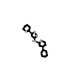 c1ccc(-c2ccnc(Nc3cc(-c4ccccn4)ns3)c2)cc1